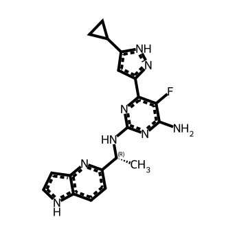 C[C@@H](Nc1nc(N)c(F)c(-c2cc(C3CC3)[nH]n2)n1)c1ccc2[nH]ccc2n1